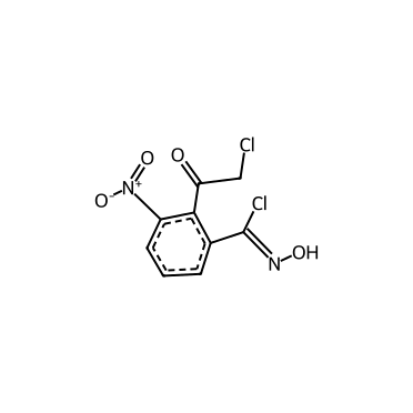 O=C(CCl)c1c(C(Cl)=NO)cccc1[N+](=O)[O-]